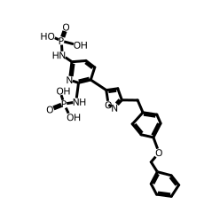 O=P(O)(O)Nc1ccc(-c2cc(Cc3ccc(OCc4ccccc4)cc3)no2)c(NP(=O)(O)O)n1